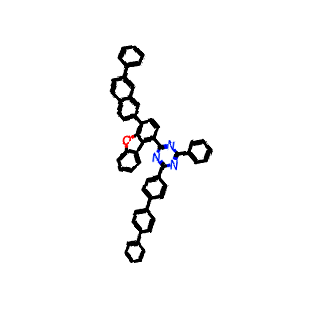 c1ccc(-c2ccc(-c3ccc(-c4nc(-c5ccccc5)nc(-c5ccc(-c6ccc7ccc(-c8ccccc8)cc7c6)c6oc7ccccc7c56)n4)cc3)cc2)cc1